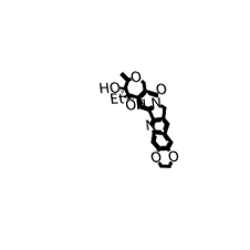 C=C1OCc2c(cc3n(c2=O)Cc2cc4cc5c(cc4nc2-3)OCCO5)[C@@](O)(CC)[C@H]1O